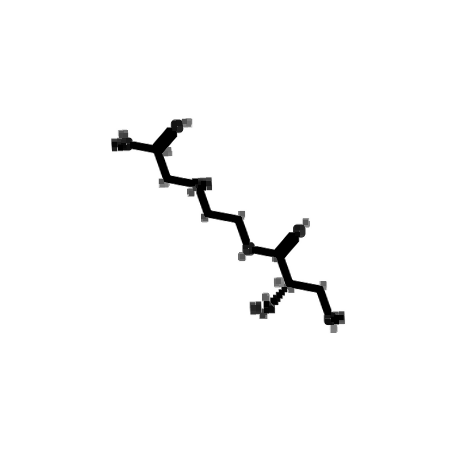 N[C@@H](CO)C(=O)OCCNCC(=O)O